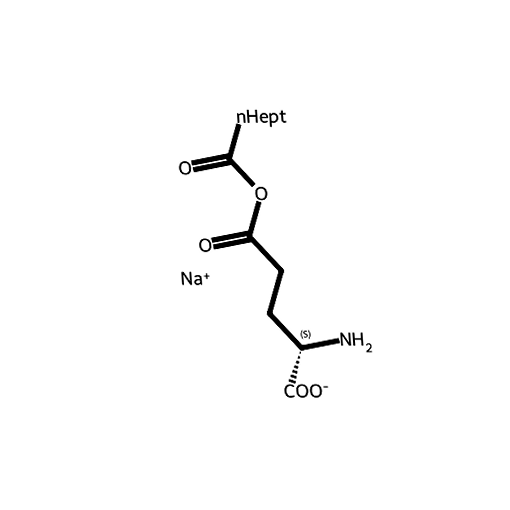 CCCCCCCC(=O)OC(=O)CC[C@H](N)C(=O)[O-].[Na+]